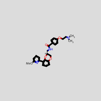 COc1cccc(-c2cccc3c2O[C@H](CNC(=O)c2ccc(OCCN(C)C)cc2)CO3)n1